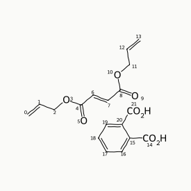 C=CCOC(=O)C=CC(=O)OCC=C.O=C(O)c1ccccc1C(=O)O